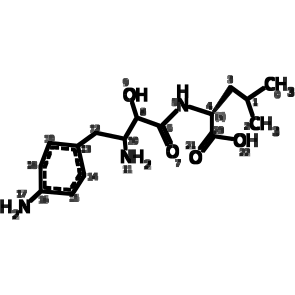 CC(C)C[C@H](NC(=O)C(O)C(N)Cc1ccc(N)cc1)C(=O)O